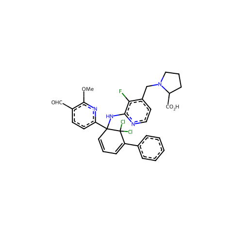 COc1nc(C2(Nc3nccc(CN4CCCC4C(=O)O)c3F)C=CC=C(c3ccccc3)C2(Cl)Cl)ccc1C=O